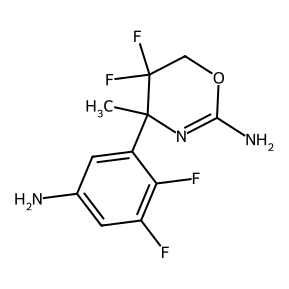 CC1(c2cc(N)cc(F)c2F)N=C(N)OCC1(F)F